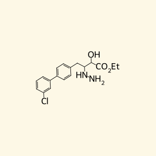 CCOC(=O)C(O)C(Cc1ccc(-c2cccc(Cl)c2)cc1)NN